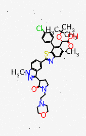 Cc1cc2nc(-c3ccc4c(c3)c(C3CCN(CCN5CCOCC5)C3=O)nn4C)sc2c(-c2ccc(Cl)cc2)c1[C@H](OC(C)(C)C)C(=O)O